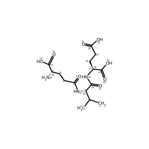 CC(C)[C@H](NC(=O)CC[C@H](N)C(=O)O)C(=O)N[C@@H](CCC(=O)O)C(=O)O